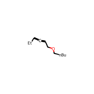 CCC=C=CCOCCCCC